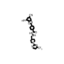 CCCc1cc(C#N)cc2nc(-c3ccc(C(=O)NNCC4CCN(c5nccc(C(F)(F)F)n5)CC4)cc3)oc12